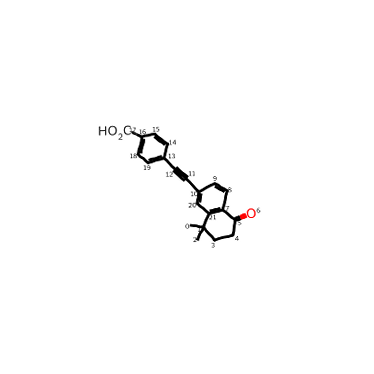 CC1(C)CCC(=O)c2ccc(C#Cc3ccc(C(=O)O)cc3)cc21